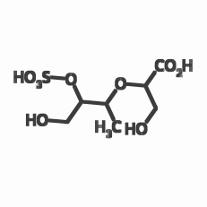 CC(OC(CO)C(=O)O)C(CO)OS(=O)(=O)O